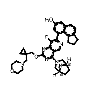 Oc1cc(-c2ncc3c(N4C[C@H]5CC[C@@H](C4)N5)nc(OCC4(CN5CCOCC5)CC4)nc3c2F)c2c3c(ccc2c1)CCC3